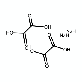 O=C(O)C(=O)O.O=C(O)C(=O)O.[NaH].[NaH]